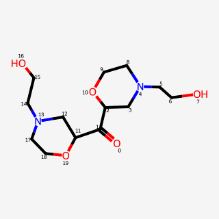 O=C(C1CN(CCO)CCO1)C1CN(CCO)CCO1